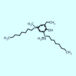 CCCCCCCC[SH](C)c1cc(CC)c(O)c([SH](C)CCCCCCCC)c1